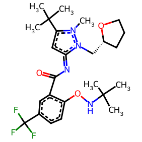 Cn1c(C(C)(C)C)cc(=NC(=O)c2cc(C(F)(F)F)ccc2ONC(C)(C)C)n1C[C@H]1CCCO1